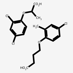 CC(Oc1ccc(Cl)cc1Cl)C(=O)O.Cc1cc(Cl)ccc1OCCCC(=O)O